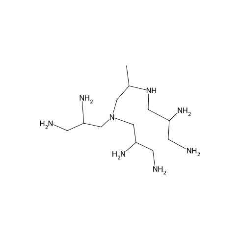 CC(CN(CC(N)CN)CC(N)CN)NCC(N)CN